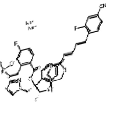 C[C@@H](SC1COC(C=CC=Cc2ccc(C#N)cc2F)OC1)[C@@](Cn1cncn1)(OC(=O)c1ccc(F)cc1COP(=O)([O-])[O-])c1ccc(F)cc1F.[Na+].[Na+]